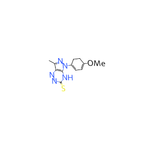 COC1=CC=C(n2nc(C)c3nnc(=S)[nH]c32)CC1